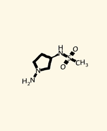 CS(=O)(=O)N[C@@H]1CCN(N)C1